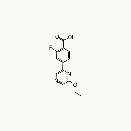 CCOc1cncc(-c2ccc(C(=O)O)c(F)c2)n1